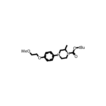 COCCOc1ccc(N2CCN(C(=O)OC(C)(C)C)C(C)C2)cc1